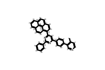 Cc1ccncc1-c1ccc(-c2cc(-c3ccc4ccc5cccc6ccc3c4c56)nc(-c3ccccc3)n2)cc1